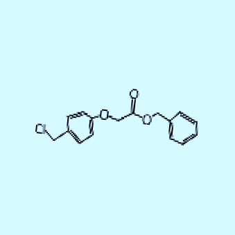 O=C(COc1ccc(CCl)cc1)OCc1ccccc1